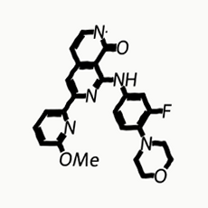 COc1cccc(-c2cc3c(c(Nc4ccc(N5CCOCC5)c(F)c4)n2)C(=O)[N]C=C3)n1